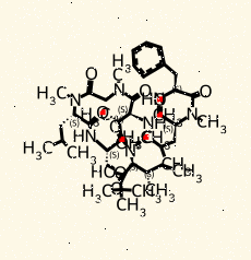 CC[C@H](C)[C@@H](C(=O)O)N(C)C(=O)[C@H](COC(C)(C)C)NC(=O)[C@H](CC(C)C)N(C)C(=O)CN(C)C(=O)[C@@H](NC(=O)[C@H](CC(C)C)N(C)C(=O)[C@H](Cc1ccccc1)NC)[C@@H](C)O